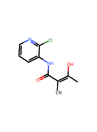 CC(O)=C(C#N)C(=O)Nc1cccnc1Cl